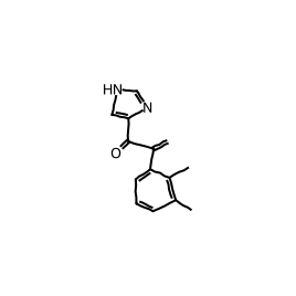 C=C(C(=O)c1c[nH]cn1)c1cccc(C)c1C